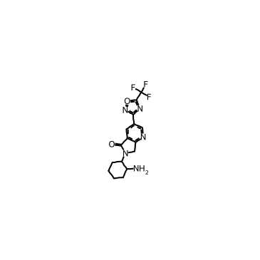 NC1CCCCC1N1Cc2ncc(-c3noc(C(F)(F)F)n3)cc2C1=O